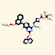 COCOc1cc(-c2ncc3c(N(C)CC4CN(C(=O)OC(C)(C)C)C4)nc(OC[C@@]45CCCN4C[C@H](F)C5)nc3c2F)c2ccccc2c1